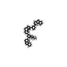 O=[PH](O)Oc1cc(-c2ccc3ccc4cccnc4c3n2)cc(-c2ccc3ccc4ccc(-c5cccc(-c6ccc7ccc8cccnc8c7n6)c5)nc4c3n2)c1